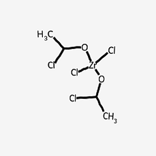 CC(Cl)[O][Zr]([Cl])([Cl])[O]C(C)Cl